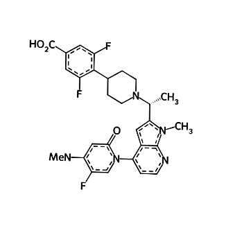 CNc1cc(=O)n(-c2ccnc3c2cc([C@@H](C)N2CCC(c4c(F)cc(C(=O)O)cc4F)CC2)n3C)cc1F